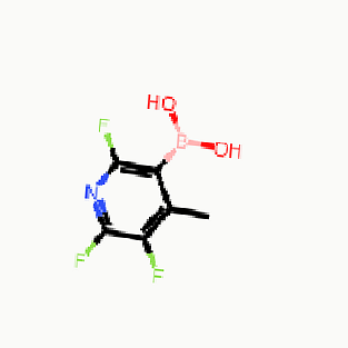 Cc1c(F)c(F)nc(F)c1B(O)O